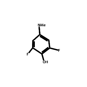 CNc1cc(F)c(O)c(F)c1